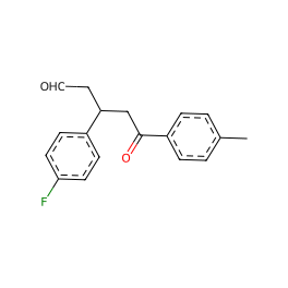 Cc1ccc(C(=O)CC(CC=O)c2ccc(F)cc2)cc1